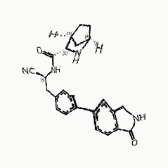 N#C[C@H](Cc1ccc(-c2ccc3c(c2)CNC3=O)cc1)NC(=O)[C@H]1N[C@@H]2CC[C@H]1C2